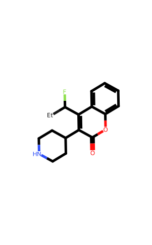 CCC(F)c1c(C2CCNCC2)c(=O)oc2ccccc12